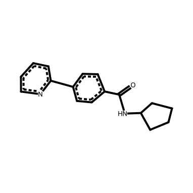 O=C(NC1CCCC1)c1ccc(-c2ccccn2)cc1